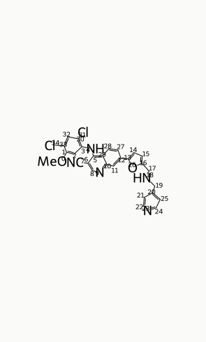 COc1cc(Nc2c(C#N)cnc3cc(-c4ccc(CNCc5ccncc5)o4)ccc23)c(Cl)cc1Cl